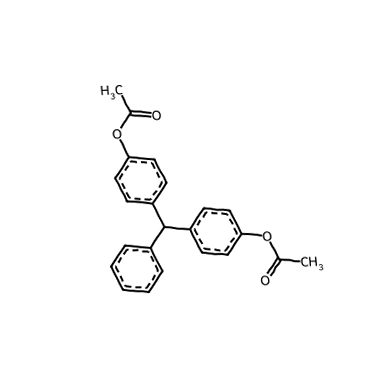 CC(=O)Oc1ccc(C(c2ccccc2)c2ccc(OC(C)=O)cc2)cc1